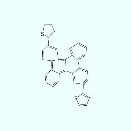 c1csc(-c2ccc3c4ccccc4c4c5cc(-c6cccs6)ccc5c5ccccc5c4c3c2)c1